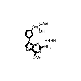 COc1nc(N)nc2c1ncn2[C@H]1C=C[C@@H](OP(O)OC)C1.[HH].[HH]